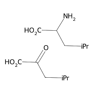 CC(C)CC(=O)C(=O)O.CC(C)CC(N)C(=O)O